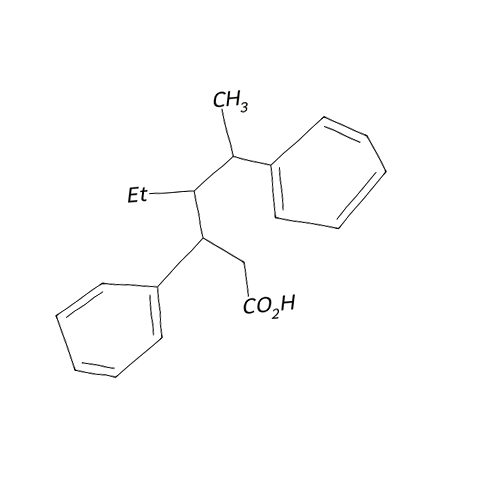 CCC(C(C)c1ccccc1)C(CC(=O)O)c1ccccc1